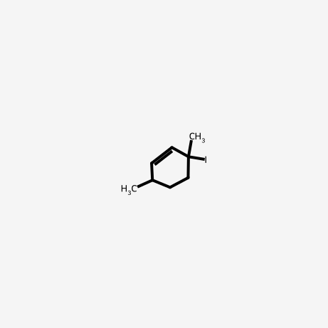 CC1C=CC(C)(I)CC1